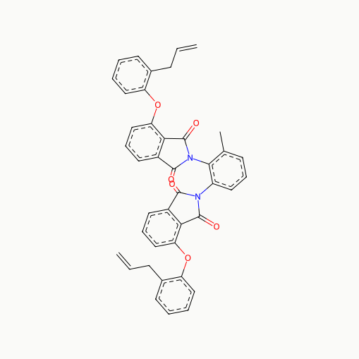 C=CCc1ccccc1Oc1cccc2c1C(=O)N(c1cccc(C)c1N1C(=O)c3cccc(Oc4ccccc4CC=C)c3C1=O)C2=O